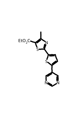 CCOC(=O)c1sc(-c2ccc(-c3cncnc3)s2)nc1C